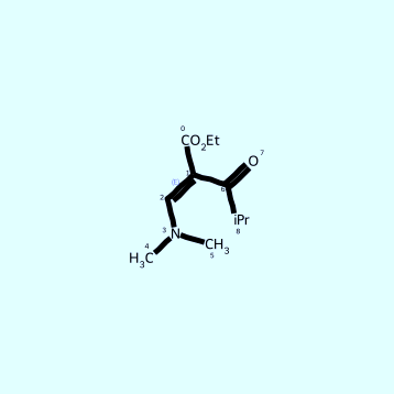 CCOC(=O)/C(=C/N(C)C)C(=O)C(C)C